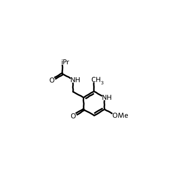 COc1cc(=O)c(CNC(=O)C(C)C)c(C)[nH]1